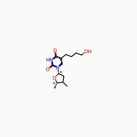 CC1C[C@H](n2cc(CCCCO)c(=O)[nH]c2=O)O[C@@H]1C